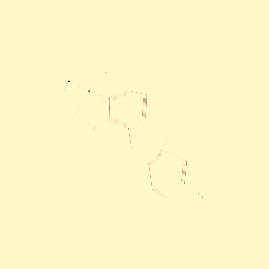 Nc1ccc(Oc2cccc3c2CCC3(O)C(F)(F)F)c(Cl)c1